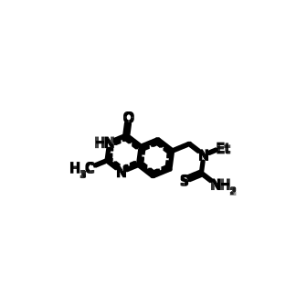 CCN(Cc1ccc2nc(C)[nH]c(=O)c2c1)C(N)=S